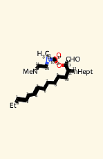 CCC=CCC=CCCCCCC(CCCCCCC)C(C=O)OC(=O)N(C)CCNC